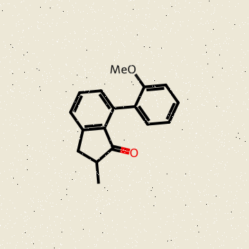 COc1ccccc1-c1cccc2c1C(=O)C(C)C2